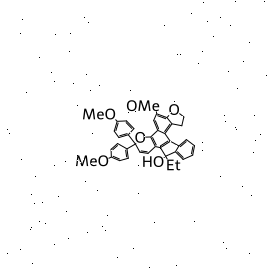 CCC1(O)c2ccccc2-c2c1c1c(c3cc(OC)c4c(c23)CCO4)OC(c2ccc(OC)cc2)(c2ccc(OC)cc2)C=C1